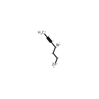 CC#CCC[CH2][Zn+].[Br-]